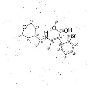 COC(O)/C(=C(/C)NC(C)C1CCOCC1)c1ccccc1Br